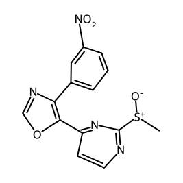 C[S+]([O-])c1nccc(-c2ocnc2-c2cccc([N+](=O)[O-])c2)n1